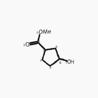 COC(=O)C1CCC(O)C1